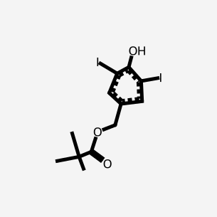 CC(C)(C)C(=O)OCc1cc(I)c(O)c(I)c1